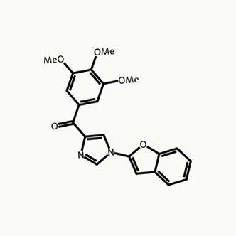 COc1cc(C(=O)c2cn(-c3cc4ccccc4o3)cn2)cc(OC)c1OC